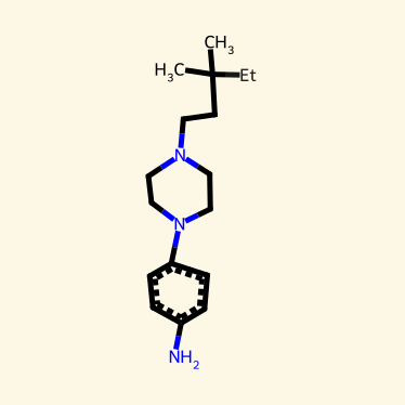 CCC(C)(C)CCN1CCN(c2ccc(N)cc2)CC1